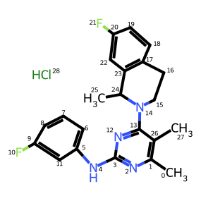 Cc1nc(Nc2cccc(F)c2)nc(N2CCc3ccc(F)cc3C2C)c1C.Cl